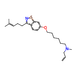 C=CCN(C)CCCCCCOc1ccc2c(CCC=C(C)C)nsc2c1